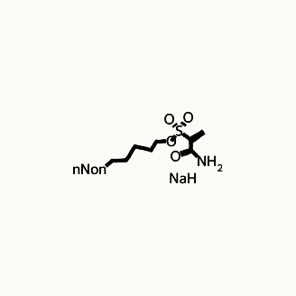 C=C(C(N)=O)S(=O)(=O)OCCCCCCCCCCCCCC.[NaH]